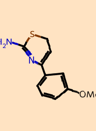 COc1cccc(C2=CCSC(N)=N2)c1